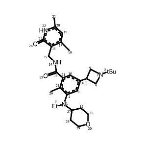 CCN(c1cc(C2CN(C(C)(C)C)C2)cc(C(=O)NCc2c(C)cc(C)[nH]c2=O)c1C)C1CCOCC1